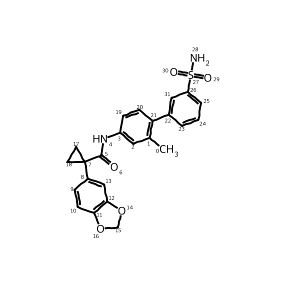 Cc1cc(NC(=O)C2(c3ccc4c(c3)OCO4)CC2)ccc1-c1cccc(S(N)(=O)=O)c1